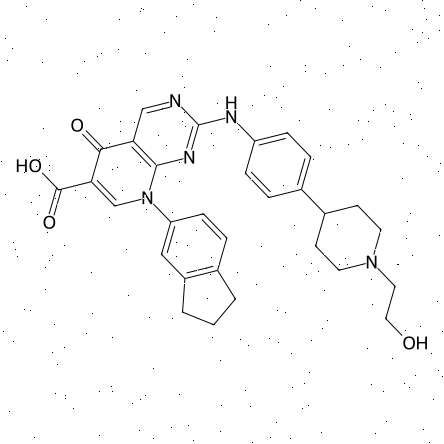 O=C(O)c1cn(-c2ccc3c(c2)CCC3)c2nc(Nc3ccc(C4CCN(CCO)CC4)cc3)ncc2c1=O